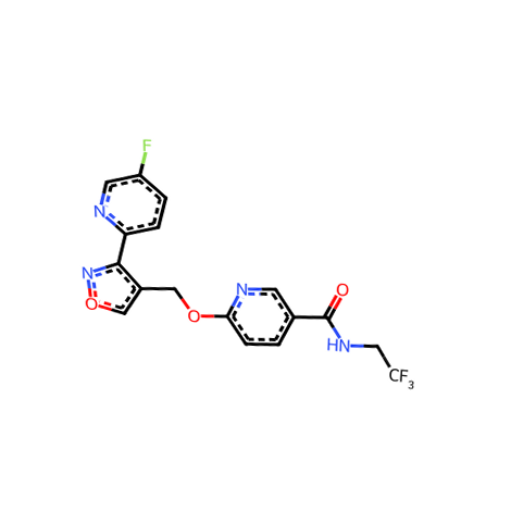 O=C(NCC(F)(F)F)c1ccc(OCc2conc2-c2ccc(F)cn2)nc1